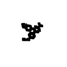 COc1ccc(-c2cnc(N(C)C)nc2C2CCN(CC(C)(C)C)CC2)cc1